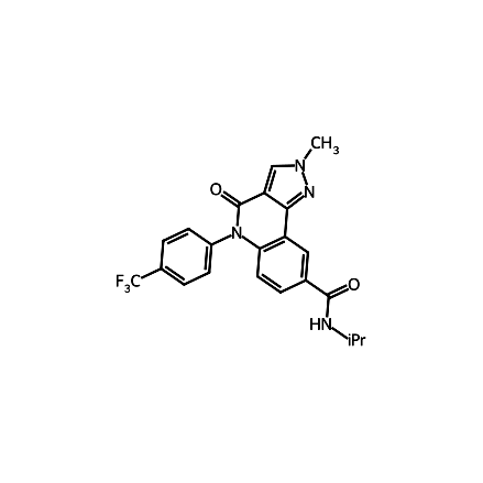 CC(C)NC(=O)c1ccc2c(c1)c1nn(C)cc1c(=O)n2-c1ccc(C(F)(F)F)cc1